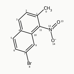 Cc1ccc2ccc(Br)cc2c1[N+](=O)[O-]